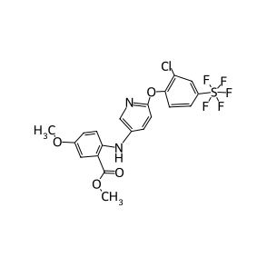 COC(=O)c1cc(OC)ccc1Nc1ccc(Oc2ccc(S(F)(F)(F)(F)F)cc2Cl)nc1